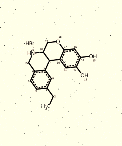 Br.CCc1ccc2c(c1)C1c3cc(O)c(O)cc3OCC1NC2